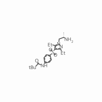 CCc1nn(C[C@H](C)N)c(CC)c1S(=O)(=O)c1ccc(NC(=O)C(C)(C)C)cc1